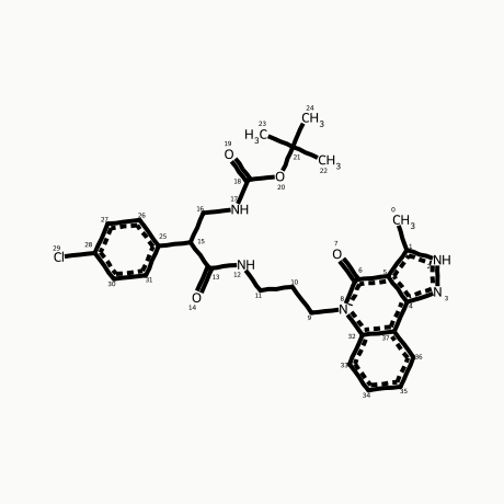 Cc1[nH]nc2c1c(=O)n(CCCNC(=O)C(CNC(=O)OC(C)(C)C)c1ccc(Cl)cc1)c1ccccc21